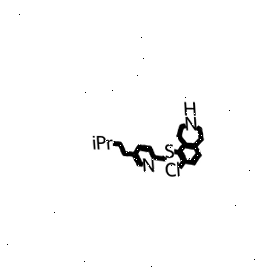 CC(C)CCc1ccc(CSc2c(Cl)ccc3c2CCNCC3)nc1